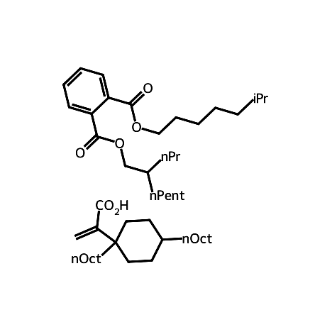 C=C(C(=O)O)C1(CCCCCCCC)CCC(CCCCCCCC)CC1.CCCCCC(CCC)COC(=O)c1ccccc1C(=O)OCCCCCC(C)C